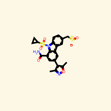 Cc1noc(C)c1-c1cc(C(N)=O)c2c(c1)c1cc(C[SH](=O)=O)ccc1n2S(=O)(=O)C1CC1